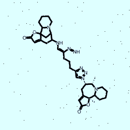 C[C@H]1[C@@H](n2cc(CCC/C(=C/NC3CC4=CC(=O)OC45CC3N3CCCCC35)N=N)nn2)CC2=CC(=O)O[C@]2(C)C2CCCCN21